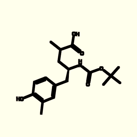 Cc1cc(C[C@@H](CC(C)C(=O)O)NC(=O)OC(C)(C)C)ccc1O